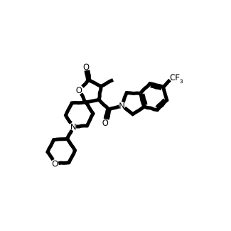 CC1C(=O)OC2(CCN(C3CCOCC3)CC2)C1C(=O)N1Cc2ccc(C(F)(F)F)cc2C1